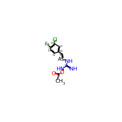 CC(=O)ONC(=N)N[As]=Cc1ccc(F)c(Cl)c1